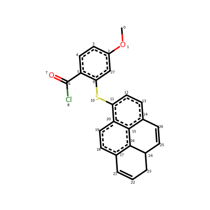 COc1ccc(C(=O)Cl)c(Sc2ccc3c4c5c(ccc24)C=CCC5C=C3)c1